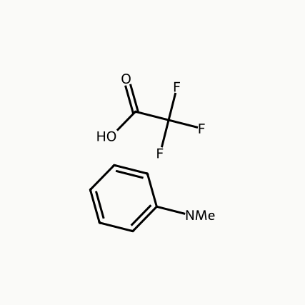 CNc1ccccc1.O=C(O)C(F)(F)F